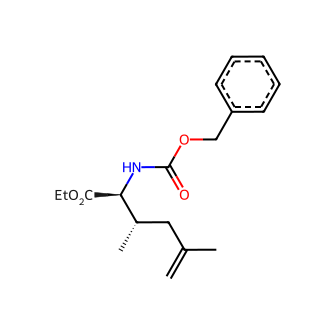 C=C(C)C[C@H](C)[C@H](NC(=O)OCc1ccccc1)C(=O)OCC